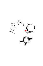 Cc1cn([C@@H]2O[C@@]3(COP(=O)(O)OP(=O)(O)OP(=O)(O)O)COCO[C@@H]2[C@@H]3O)c(=O)[nH]c1=O